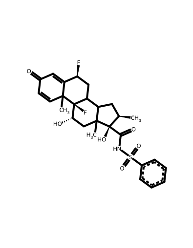 C[C@@H]1CC2C3C[C@H](F)C4=CC(=O)C=CC4(C)[C@@]3(F)[C@@H](O)CC2(C)[C@@]1(O)C(=O)NS(=O)(=O)c1ccccc1